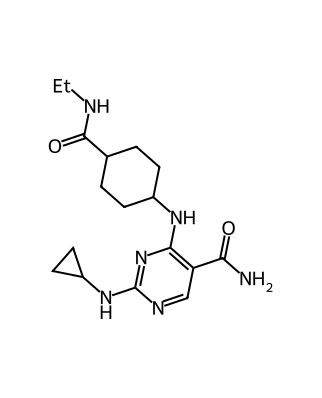 CCNC(=O)C1CCC(Nc2nc(NC3CC3)ncc2C(N)=O)CC1